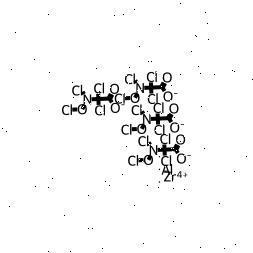 O=C([O-])C(Cl)(Cl)N(Cl)OCl.O=C([O-])C(Cl)(Cl)N(Cl)OCl.O=C([O-])C(Cl)(Cl)N(Cl)OCl.O=C([O-])C(Cl)(Cl)N(Cl)OCl.[Al].[Zr+4]